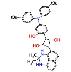 CC1(C)Nc2cccc3ccc(C4C(O)C(c5ccc(N(c6ccc(C(C)(C)C)cc6)c6ccc(C(C)(C)C)cc6)cc5O)C4O)c(c23)N1